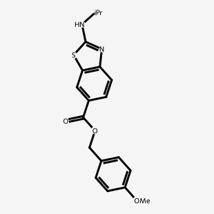 COc1ccc(COC(=O)c2ccc3nc(NC(C)C)sc3c2)cc1